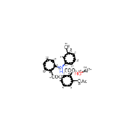 CC(=O)Oc1ccccc1C(=O)[O-].O=C([O-])c1ccccc1Nc1cccc(C(F)(F)F)c1.[OH][Al+2]